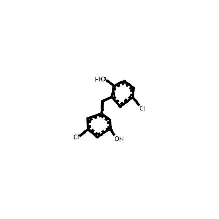 Oc1cc(Cl)cc(Cc2cc(Cl)ccc2O)c1